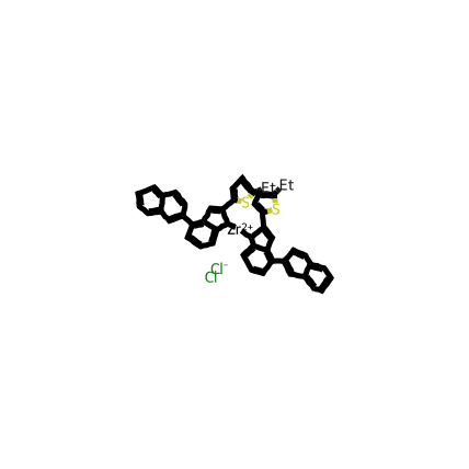 CCc1ccc(C2=Cc3c(-c4ccc5ccccc5c4)cccc3[CH]2[Zr+2][CH]2C(c3ccc(CC)s3)=Cc3c(-c4ccc5ccccc5c4)cccc32)s1.[Cl-].[Cl-]